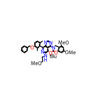 COCCNc1cc2c(N(Cc3ccc(OC)cc3OC)C(=O)OC(C)(C)C)ncnc2c(-c2c(C)ccc(OCc3ccccc3)c2C)n1